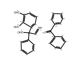 N=CC(C=O)(c1ccccc1)c1cccc(C=O)c1C=O.O=C(c1ccccc1)c1ccccc1